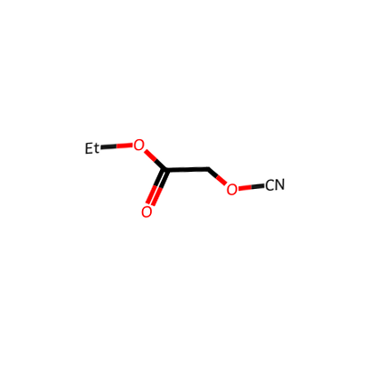 CCOC(=O)COC#N